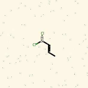 CC=C[SiH](Cl)Cl